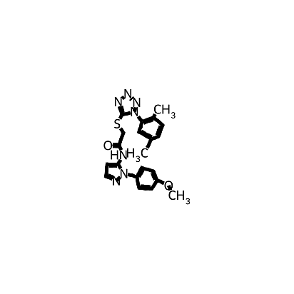 COc1ccc(-n2nccc2NC(=O)CSc2nnnn2-c2cc(C)ccc2C)cc1